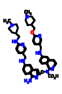 CN1CCC(CNc2ccc(CNc3ccc4c(N)nccc4c3)cn2)CC1.CN1CCC(COc2ccc(CNc3ccc4c(N(C)C(=O)O)nccc4c3)cn2)CC1